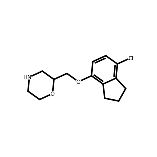 Clc1ccc(OCC2CNCCO2)c2c1CCC2